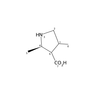 CC1CN[C@H](C)C1C(=O)O